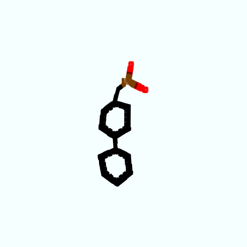 O=[SH](=O)Cc1ccc(-c2ccccc2)cc1